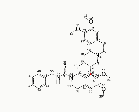 CCC1CN2CCc3cc(OC)c(OC)cc3C2CC1CC1c2cc(OC)c(OC)cc2CCN1C(=S)NCc1ccccc1